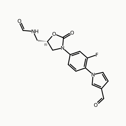 O=CNC[C@H]1CN(c2ccc(-n3ccc(C=O)c3)c(F)c2)C(=O)O1